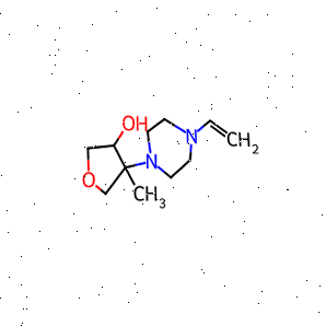 C=CN1CCN(C2(C)COCC2O)CC1